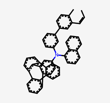 C/C=C\c1cc(-c2cccc(N(c3ccc4c(c3)-c3c5cccc3-c3cccc-4c3-c3ccccc3-5)c3cccc4ccccc34)c2)ccc1C